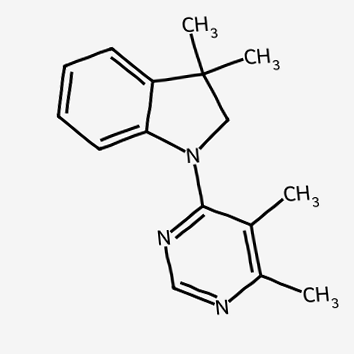 Cc1ncnc(N2CC(C)(C)c3ccccc32)c1C